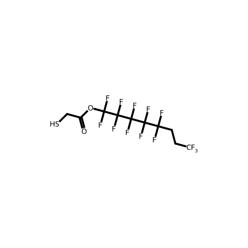 O=C(CS)OC(F)(F)C(F)(F)C(F)(F)C(F)(F)C(F)(F)CCC(F)(F)F